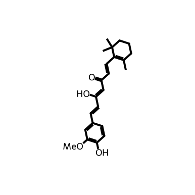 COc1cc(/C=C/C(O)=C/C(=O)/C=C/C2=C(C)CCCC2(C)C)ccc1O